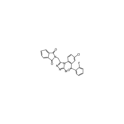 O=C(c1ccccc1F)c1cc(Cl)ccc1-n1c(Br)nnc1CN1C(=O)c2ccccc2C1=O